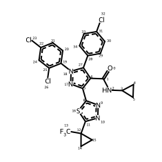 O=C(NC1CC1)c1c(-c2nnc(C3(C(F)(F)F)CC3)s2)nn(-c2ccc(Cl)cc2Cl)c1-c1ccc(Cl)cc1